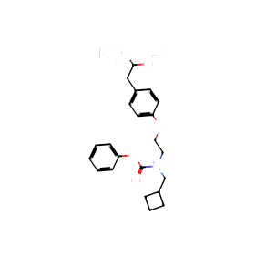 CCOC(Cc1ccc(OCCN(CC2CCC2)C(=O)Oc2ccccc2)cc1)C(=O)O